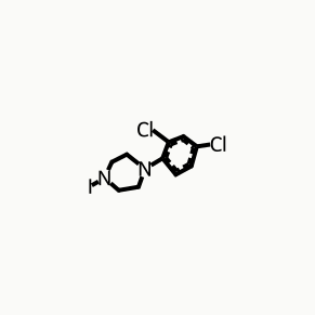 Clc1ccc(N2CCN(I)CC2)c(Cl)c1